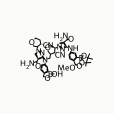 COC(=O)c1ccc(Nc2nn(C3COCC(CN(c4ccc5c(c4)B(O)OC5)c4nn(C5COCC[C@@H]5C#N)cc4C(N)=O)[C@@H]3C#N)cc2C(N)=O)cc1B1OC(C)(C)C(C)(C)O1